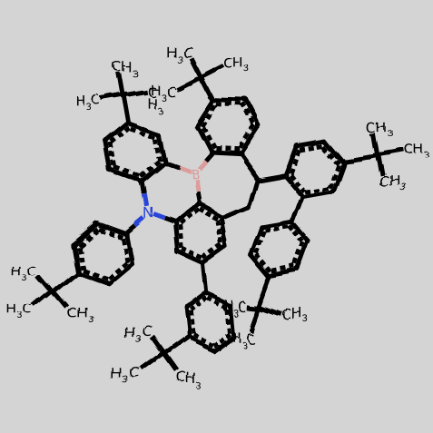 CC(C)(C)c1ccc(-c2cc(C(C)(C)C)ccc2C2Cc3cc(-c4cccc(C(C)(C)C)c4)cc4c3B(c3cc(C(C)(C)C)ccc32)c2cc(C(C)(C)C)ccc2N4c2ccc(C(C)(C)C)cc2)cc1